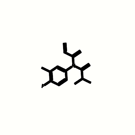 C=CC(=C)N(C(=C)C(C)C)c1ccc(F)c(C)c1